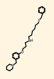 c1ccc(CSCCCCCCNCCCOc2cccc(CN3CCCCC3)c2)cc1